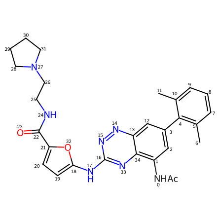 CC(=O)Nc1cc(-c2c(C)cccc2C)cc2nnc(Nc3ccc(C(=O)NCCN4CCCC4)o3)nc12